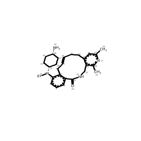 CCN(c1cccc2c1C/C=C/CCc1cc(C)nc(C)c1CNC2=O)[C@H]1CC[C@@H](N)CC1